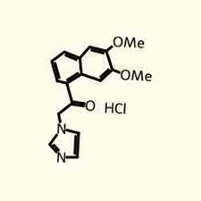 COc1cc2cccc(C(=O)Cn3ccnc3)c2cc1OC.Cl